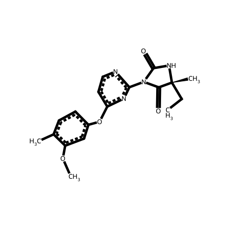 CC[C@@]1(C)NC(=O)N(c2nccc(Oc3ccc(C)c(OC)c3)n2)C1=O